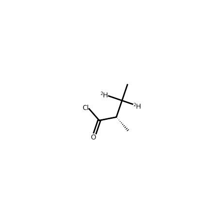 [2H]C([2H])(C)[C@H](C)C(=O)Cl